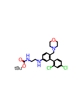 CC(C)(C)OC(=O)NCCNc1ccc(CN2CCOCC2)c(-c2ccc(Cl)cc2Cl)c1